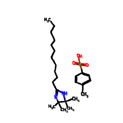 CCCCCCCCCCCC1=NC(C)(C)C(C)(C)N1.Cc1ccc(S(=O)(=O)O)cc1